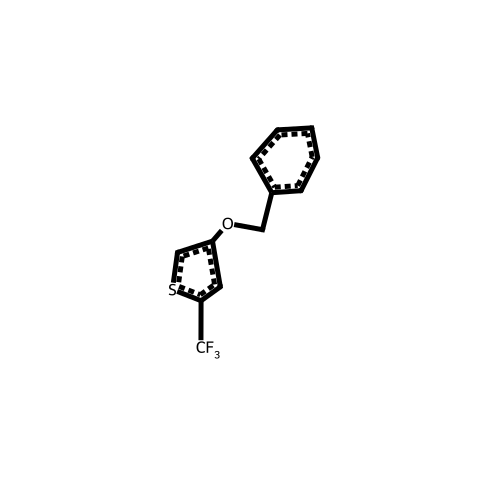 FC(F)(F)c1cc(OCc2ccccc2)cs1